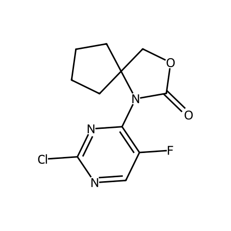 O=C1OCC2(CCCC2)N1c1nc(Cl)ncc1F